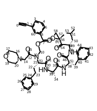 C#Cc1cccc(C(=O)OCN(C(=O)CN2CCOCC2)[C@@H](CCc2ccccc2)C(=O)N[C@@H](C)C(=O)N[C@@H](Cc2ccccc2)C(=O)N[C@@H](CC(C)C)C(=O)[C@@]2(C)CO2)c1